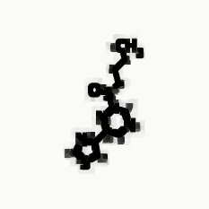 CCCC[S+]([O-])c1cncc(-c2cs[c]n2)n1